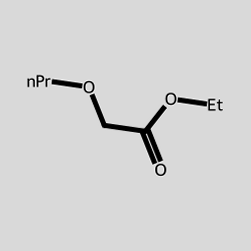 CCCOCC(=O)OCC